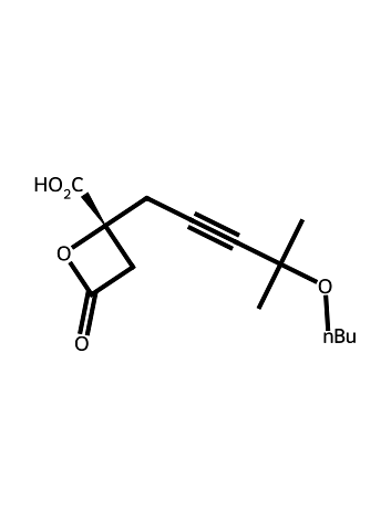 CCCCOC(C)(C)C#CC[C@]1(C(=O)O)CC(=O)O1